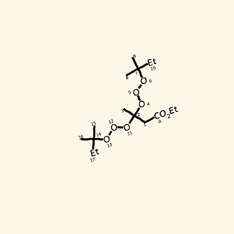 CCOC(=O)CC(C)(OOOC(C)(C)CC)OOOC(C)(C)CC